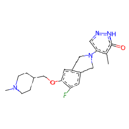 Cc1c(N2Cc3cc(F)c(OCC4CCN(C)CC4)cc3C2)cn[nH]c1=O